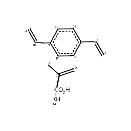 C=C(C)C(=O)O.C=Cc1ccc(C=C)cc1.[KH]